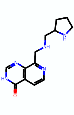 O=c1[nH]cnc2c(CNCC3CCCN3)nccc12